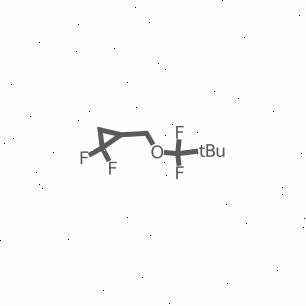 CC(C)(C)C(F)(F)OCC1CC1(F)F